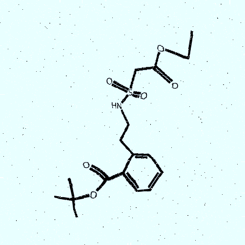 CCOC(=O)CS(=O)(=O)NCCc1ccccc1C(=O)OC(C)(C)C